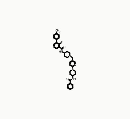 Cc1ccc(-c2cccc(C(=O)NC3CCN(Cc4ccc(N5CCC(NC(=O)c6ccccc6)CC5)nc4)CC3)c2F)cc1